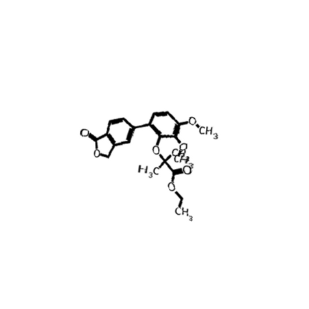 CCOC(=O)C(C)(C)Oc1c(-c2ccc3c(c2)COC3=O)ccc(OC)c1OC